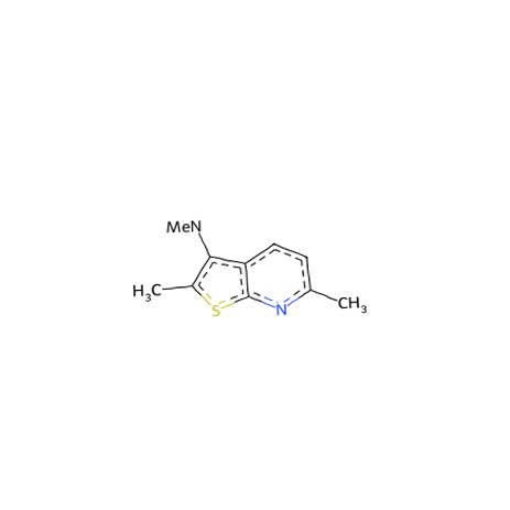 CNc1c(C)sc2nc(C)ccc12